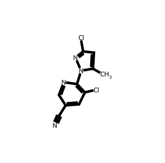 Cc1cc(Cl)nn1-c1ncc(C#N)cc1Cl